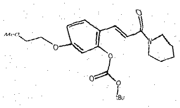 COCCOc1ccc(/C=C/C(=O)N2CCCCC2)c(OC(=O)OC(C)(C)C)c1